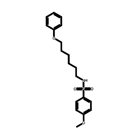 COc1ccc(S(=O)(=O)NCCCCCCOc2ccccc2)cc1